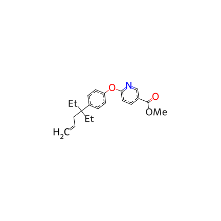 C=CCC(CC)(CC)c1ccc(Oc2ccc(C(=O)OC)cn2)cc1